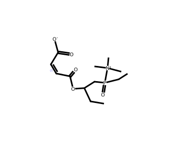 CCC(CP(=O)(CC)[N+](C)(C)C)OC(=O)/C=C\C(=O)[O-]